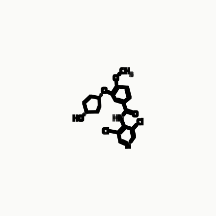 COc1ccc(C(=O)Nc2c(Cl)cncc2Cl)cc1O[C@H]1CC[C@@H](O)CC1